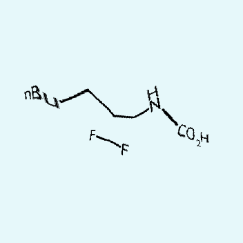 CCCCCCNC(=O)O.FF